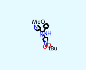 COc1cccc(-c2[nH]c(C3CCN(C(=O)OC(C)(C)C)CC3)nc2-c2ccncc2)c1